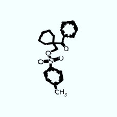 Cc1ccc(S(=O)(=O)OCC2(C(=O)c3ccccc3)CCCCC2)cc1